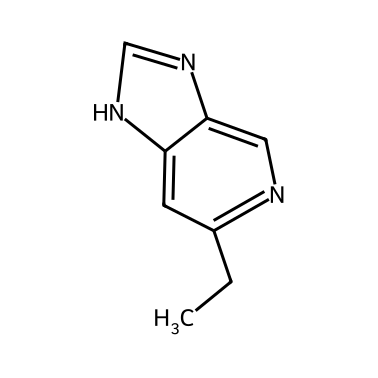 CCc1cc2[nH]cnc2cn1